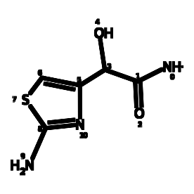 [NH]C(=O)C(O)c1csc(N)n1